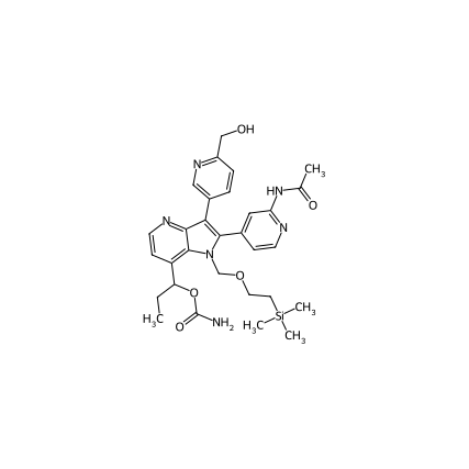 CCC(OC(N)=O)c1ccnc2c(-c3ccc(CO)nc3)c(-c3ccnc(NC(C)=O)c3)n(COCC[Si](C)(C)C)c12